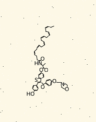 CC/C=C\C/C=C\C/C=C\C/C=C\C/C=C\C/C=C\CCC(=O)NC(C)C(=O)Oc1ccc2c(C(=O)c3ccc(OCCN4CCOCC4)cc3)c(-c3ccc(O)cc3)sc2c1